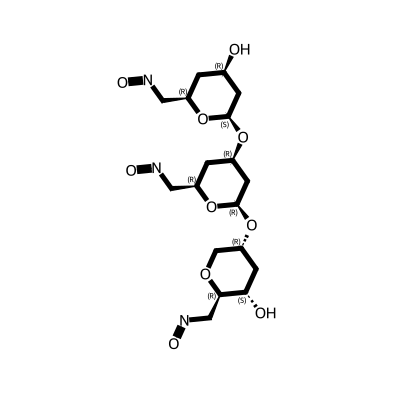 O=NC[C@H]1C[C@@H](O)C[C@@H](O[C@@H]2C[C@H](CN=O)O[C@H](O[C@H]3CO[C@H](CN=O)[C@@H](O)C3)C2)O1